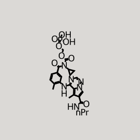 CCCNC(=O)c1cn2ncnc(Nc3cc(C(=O)N(C(=O)OCOP(=O)(O)O)C4CC4)ccc3C)c2c1C